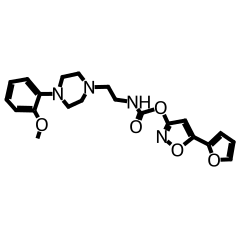 COc1ccccc1N1CCN(CCNC(=O)Oc2cc(-c3ccco3)on2)CC1